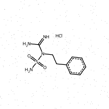 Cl.N=C(N)N(CCc1ccccc1)S(N)(=O)=O